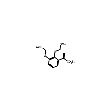 C=C(C(=O)OCC)c1cccc(OCOC)c1OCOC